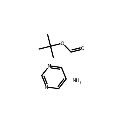 CC(C)(C)OC=O.N.c1cncnc1